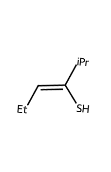 CCC=C(S)C(C)C